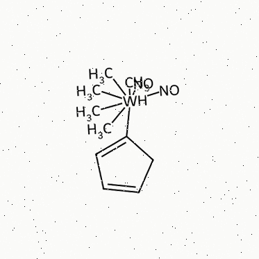 [CH3][WH]([CH3])([CH3])([CH3])([CH3])([N]=O)([N]=O)[C]1=CC=CC1